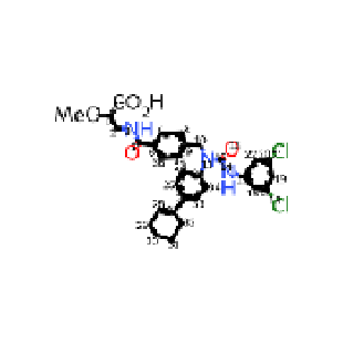 COC(CNC(=O)c1ccc(CN(C(=O)Nc2cc(Cl)cc(Cl)c2)c2ccc(C3=CCCCC3)cc2)cc1)C(=O)O